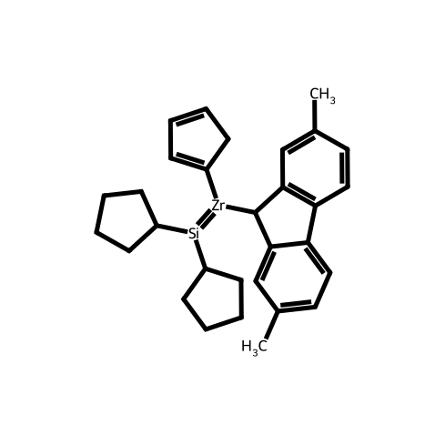 Cc1ccc2c(c1)[CH]([Zr]([C]1=CC=CC1)=[Si](C1CCCC1)C1CCCC1)c1cc(C)ccc1-2